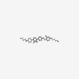 C=CCCCOc1ccc(COc2ccc(-c3ccc(C4CCC(OCCCC)CC4)c(F)c3F)cc2)c(F)c1